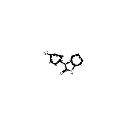 O=C1Nc2ccccc2C1c1ccc(Br)cc1